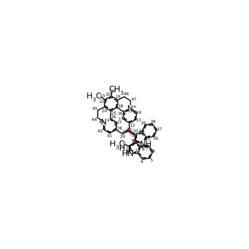 Cc1[nH]c2ccccc2c1/C=C/c1cc[n+]2c(c1)-c1c(c(C)c(C)c3c1-c1cc(/C=C/c4c(C)[nH]c5ccccc45)cc[n+]1CC3)CC2